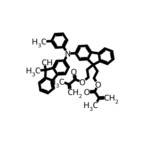 C=C(C)C(=O)OCCC1(CCOC(=O)C(=C)C)c2ccccc2-c2ccc(N(c3cccc(C)c3)c3ccc4c(c3)C(C)(C)c3ccccc3-4)cc21